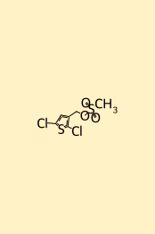 CS(=O)(=O)OCc1cc(Cl)sc1Cl